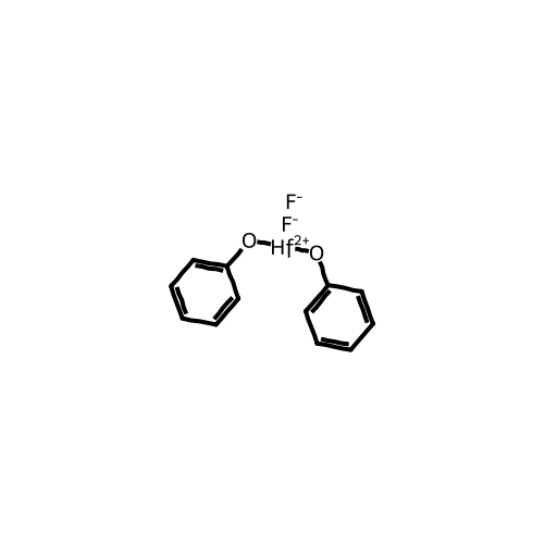 [F-].[F-].c1ccc([O][Hf+2][O]c2ccccc2)cc1